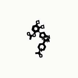 CC(=O)Oc1ccc(Cl)c(Cl)c1[C@@H]1Cc2nnc(C3CCN(C(C)=O)CC3)n2C1